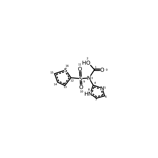 O=C(O)N(c1ncc[nH]1)S(=O)(=O)c1cccs1